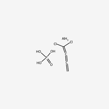 C=C=C=C(Cl)Cl.O=P(O)(O)O.[AlH3]